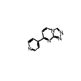 c1cc(-c2ccn3cnnc3n2)ccn1